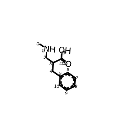 CNCC(Cc1ccccc1)C(=O)O